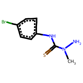 CN(N)C(=S)Nc1ccc(Br)cc1